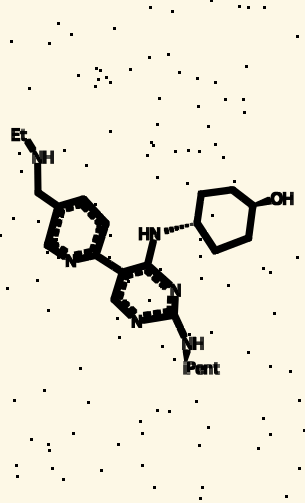 CCC[C@H](C)Nc1ncc(-c2ccc(CNCC)cn2)c(N[C@H]2CC[C@H](O)CC2)n1